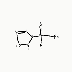 FC(F)(F)C1C=CSS1